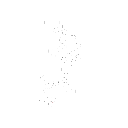 Cc1ccc(-c2ccccc2)cc1N(c1ccc2c3cc(C(C)(C)C)cc4c5cc6c(cc5n(c2c1)c34)c1cc(C(C)(C)C)cc2c3cc(C(C)(C)C)ccc3n6c21)c1cccc2c1oc1c(-c3ccccc3)cc(CC(C)(C)c3ccc4c(c3)c3cc(C(C)(C)C)cc5c6cc7c(cc6n4c35)c3cc(C(C)(C)C)cc4c5ccc(N(c6ccccc6)c6ccccc6-c6ccccc6)cc5n7c43)cc12